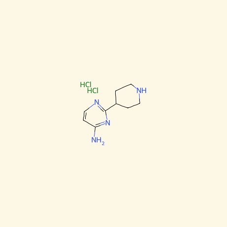 Cl.Cl.Nc1ccnc(C2CCNCC2)n1